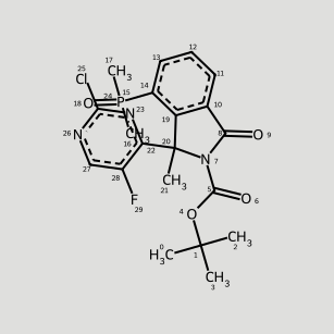 CC(C)(C)OC(=O)N1C(=O)c2cccc(P(C)(C)=O)c2C1(C)c1nc(Cl)ncc1F